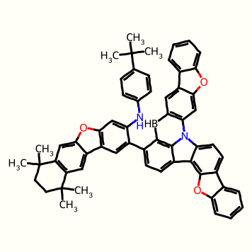 CC(C)(C)c1ccc(Nc2cc3oc4cc5c(cc4c3cc2-c2ccc3c4c6oc7ccccc7c6ccc4n4c3c2Bc2cc3c(cc2-4)oc2ccccc23)C(C)(C)CCC5(C)C)cc1